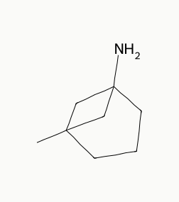 CC12CCCC(N)(C1)C2